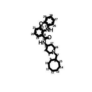 O=C(NC1CCN(CC2CCCCCCC2)CC1)c1cccc2c1Nc1ccccc1O2